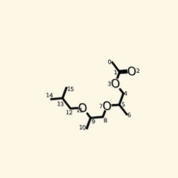 CC(=O)OCC(C)OCC(C)OCC(C)C